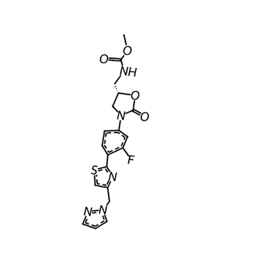 COC(=O)NC[C@H]1CN(c2ccc(-c3nc(Cn4cccn4)cs3)c(F)c2)C(=O)O1